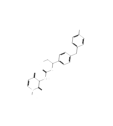 Cc1ccc(Cc2ccc(C(CC(=O)O)NC(=O)NC3C(=O)C=CN(C)C3=O)cc2)cc1